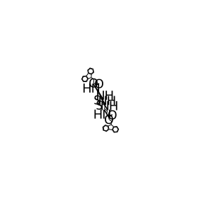 O=C(NCCNC(=S)NC(=S)NCCNC(=O)OCC1c2ccccc2-c2ccccc21)OCC1c2ccccc2-c2ccccc21